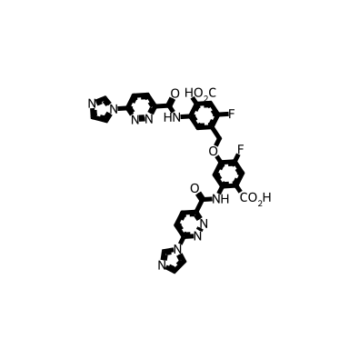 O=C(Nc1cc(COc2cc(NC(=O)c3ccc(-n4ccnc4)nn3)c(C(=O)O)cc2F)c(F)cc1C(=O)O)c1ccc(-n2ccnc2)nn1